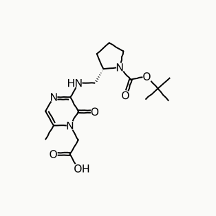 Cc1cnc(NC[C@@H]2CCCN2C(=O)OC(C)(C)C)c(=O)n1CC(=O)O